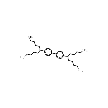 CCCCCN(CCCCC)c1ccc(-c2ccc(N(CCCCC)CCCCC)cc2)cc1